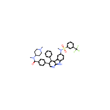 CN1CCC(N(C)C(=O)c2ccc(-c3cnc4[nH]c5ccc(N(C)S(=O)(=O)c6cccc(C(F)(F)F)c6)cc5c4c3-c3ccccc3)cc2)CC1